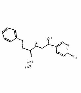 CC(CCc1ccccc1)NCC(O)c1ccc(N)nc1.Cl.Cl